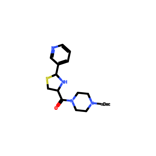 CCCCCCCCCCN1CCN(C(=O)C2CSC(c3cccnc3)N2)CC1